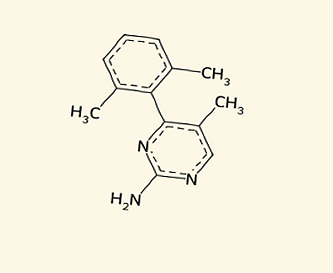 Cc1cnc(N)nc1-c1c(C)cccc1C